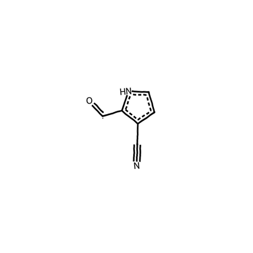 N#Cc1cc[nH]c1[C]=O